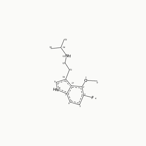 COc1c(F)ccc2[nH]cc(CCNC(C)C)c12